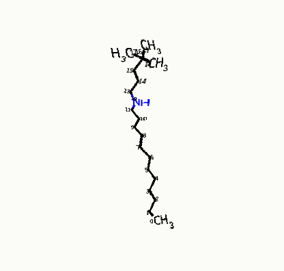 CCCCCCCCCCCCNCCCC(C)(C)C